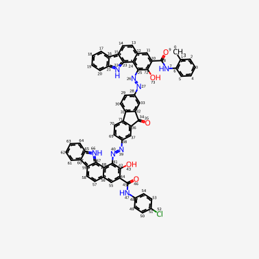 Cc1ccccc1NC(=O)c1cc2ccc3c4ccccc4[nH]c3c2c(N=Nc2ccc3c(c2)C(=O)c2cc(N=Nc4c(O)c(C(=O)Nc5ccc(Cl)cc5)cc5ccc6c7ccccc7[nH]c6c45)ccc2-3)c1O